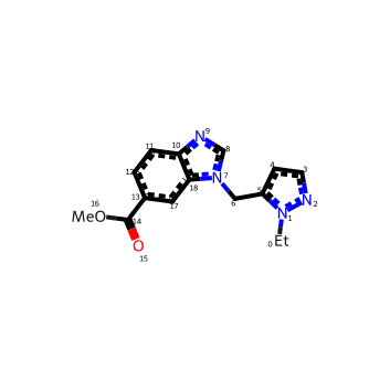 CCn1nccc1Cn1cnc2ccc(C(=O)OC)cc21